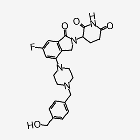 O=C1CCC(N2Cc3c(cc(F)cc3N3CCN(Cc4ccc(CO)cc4)CC3)C2=O)C(=O)N1